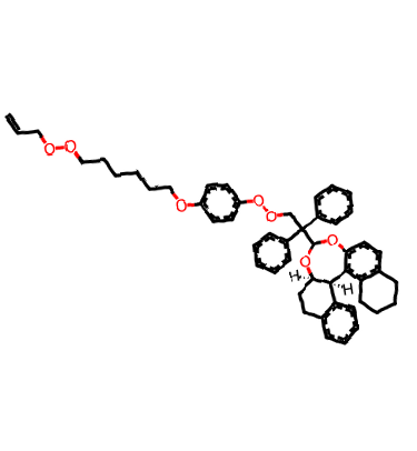 C=CCOOCCCCCCOc1ccc(OOCC(c2ccccc2)(c2ccccc2)C2Oc3ccc4c(c3[C@H]3c5ccccc5CC[C@H]3O2)CCCC4)cc1